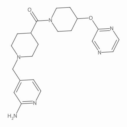 Nc1cc(CN2CCC(C(=O)N3CCC(Oc4cnccn4)CC3)CC2)ccn1